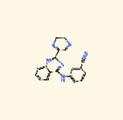 N#Cc1cccc(Nc2nc(-c3cnccn3)nc3ccccc23)c1